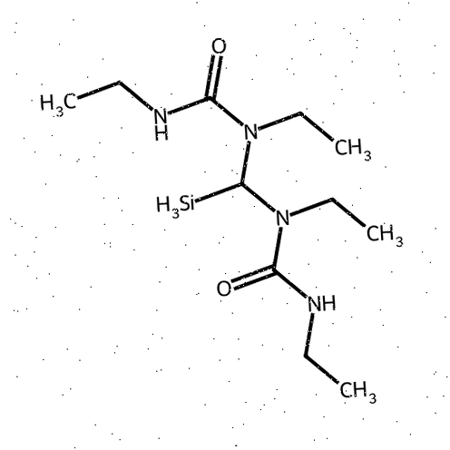 CCNC(=O)N(CC)C([SiH3])N(CC)C(=O)NCC